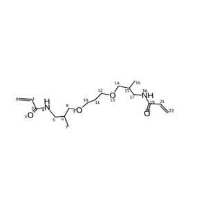 C=CC(=O)NCC(C)COCCCOCC(C)CNC(=O)C=C